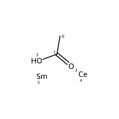 CC(=O)O.[Ce].[Sm]